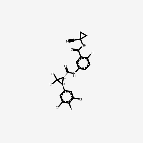 N#CC1(NC(=O)c2cc(NC(=O)[C@@H]3[C@@H](c4cc(Cl)c(F)c(Cl)c4)C3(Cl)Cl)ccc2Cl)CC1